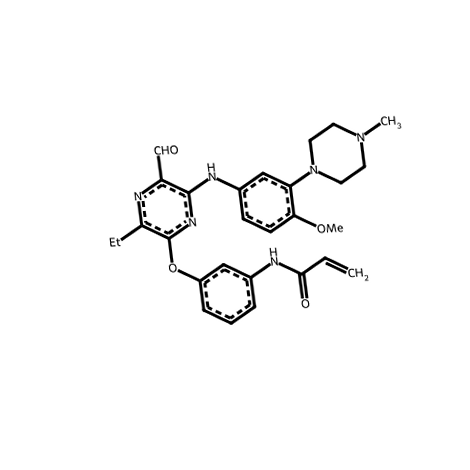 C=CC(=O)Nc1cccc(Oc2nc(Nc3ccc(OC)c(N4CCN(C)CC4)c3)c(C=O)nc2CC)c1